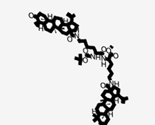 C=C(C)C1CCC2(C(=O)NCCCCC(NC(=O)C(CCCCNC(=O)C34CCC(C(=C)C)C3[C@@H]3CC[C@H]5[C@]6(C)CCC(=O)C(C)(C)[C@H]6CC[C@]5(C)[C@@]3(C)CC4)NC(=O)OC(C)(C)C)C(=O)OC)CC[C@]3(C)[C@H](CC[C@@H]4[C@@]5(C)CCC(=O)C(C)(C)[C@@H]5CC[C@]43C)C12